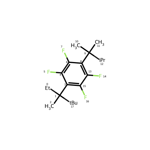 CCC(C)(c1c(F)c(F)c(C(C)(C)C(C)C)c(F)c1F)C(C)(C)C